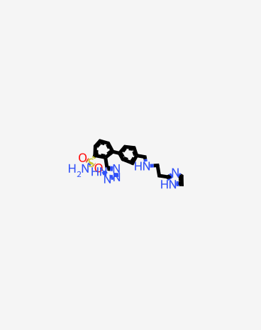 NS(=O)(=O)c1cccc(-c2ccc(CNCCc3ncc[nH]3)cc2)c1-c1nnn[nH]1